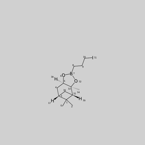 CC1(C)[C@@H]2C[C@H]3OB(CCCI)O[C@@]3(C)[C@H]1C2